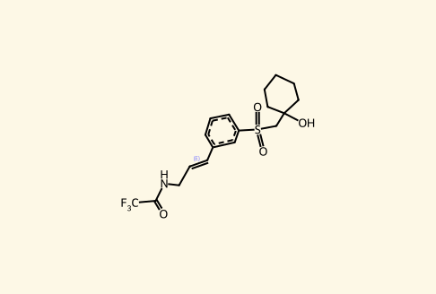 O=C(NC/C=C/c1cccc(S(=O)(=O)CC2(O)CCCCC2)c1)C(F)(F)F